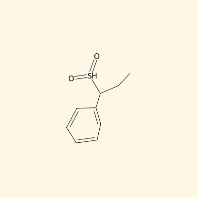 CCC(c1cc[c]cc1)[SH](=O)=O